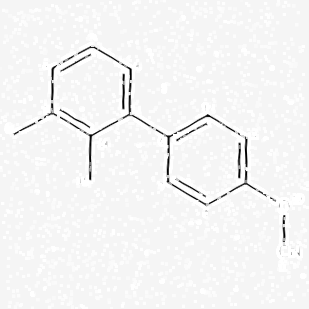 Cc1cccc(-c2ccc(OC#N)cc2)c1C